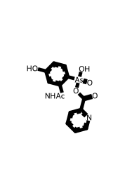 CC(=O)Nc1cc(O)ccc1[As](=O)(O)OC(=O)c1ccccn1